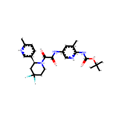 Cc1ccc([C@@H]2CC(F)(F)CCN2C(=O)C(=O)Nc2cnc(NC(=O)OC(C)(C)C)c(C)c2)cn1